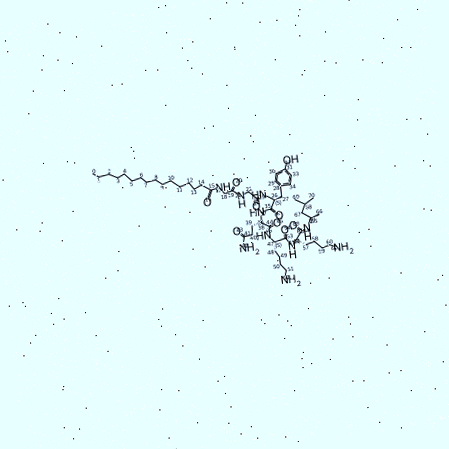 CCCCCCCCCCCCCCCC(=O)NCC(=O)NCC(=O)N[C@@H](Cc1ccc(O)cc1)C(=O)N[C@@H](CCC(N)=O)C(=O)N[C@@H](CCCCN)C(=O)N[C@@H](CCCCN)C(=O)N[C@H](C)CC(C)C